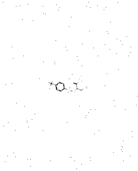 NCC(NS(=O)(=O)c1ccc(C(F)(F)F)cc1)C(=O)NO